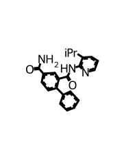 CC(C)c1cccnc1NC(=O)c1cc(C(N)=O)ccc1-c1ccccc1